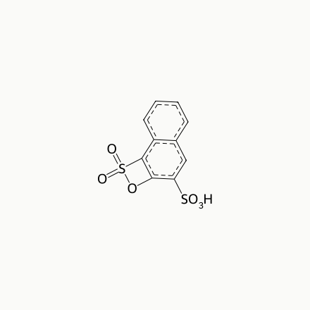 O=S(=O)(O)c1cc2ccccc2c2c1OS2(=O)=O